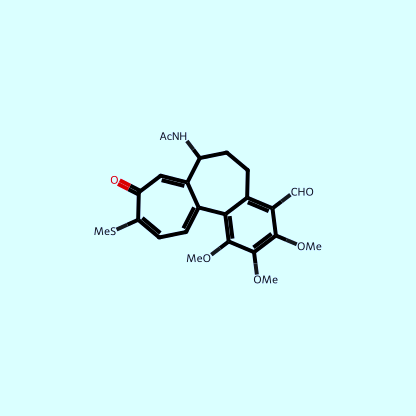 COc1c(C=O)c2c(c(OC)c1OC)-c1ccc(SC)c(=O)cc1C(NC(C)=O)CC2